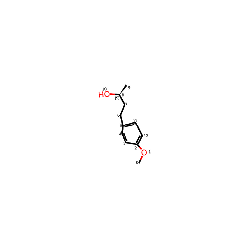 COc1ccc(CC[C@H](C)O)cc1